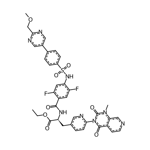 CCOC(=O)[C@H](Cc1ccc(-n2c(=O)c3ccncc3n(C)c2=O)nc1)NC(=O)c1cc(F)c(NS(=O)(=O)c2ccc(-c3cnc(COC)nc3)cc2)cc1F